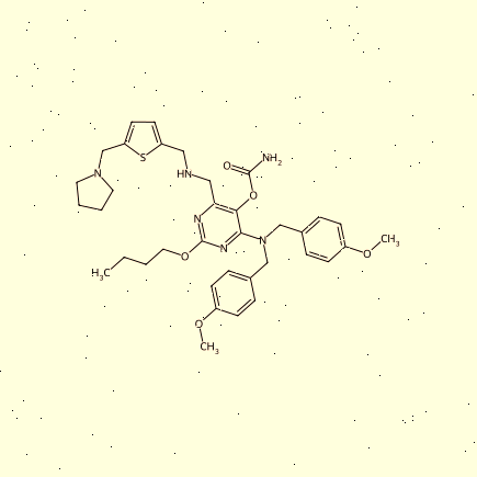 CCCCOc1nc(CNCc2ccc(CN3CCCC3)s2)c(OC(N)=O)c(N(Cc2ccc(OC)cc2)Cc2ccc(OC)cc2)n1